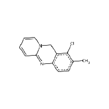 Cc1ccc2c(c1Cl)CN1C=CC=CC1=N2